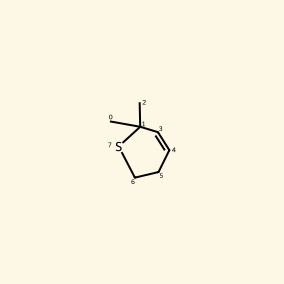 CC1(C)C=CCCS1